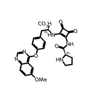 COc1ccc2ncnc(Oc3ccc(C[C@H](Nc4c(NC(=O)[C@H]5CCCN5)c(=O)c4=O)C(=O)O)cc3)c2c1